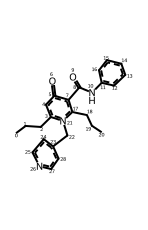 CCCc1cc(=O)c(C(=O)Nc2ccccc2)c(CCC)n1Cc1ccncc1